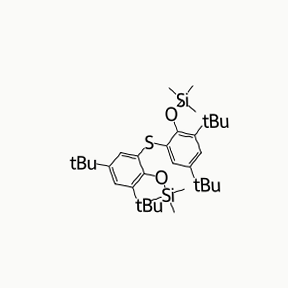 CC(C)(C)c1cc(Sc2cc(C(C)(C)C)cc(C(C)(C)C)c2O[Si](C)(C)C)c(O[Si](C)(C)C)c(C(C)(C)C)c1